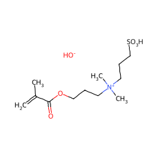 C=C(C)C(=O)OCCC[N+](C)(C)CCCS(=O)(=O)O.[OH-]